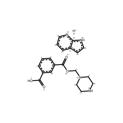 O=C(O)c1cccc(C(=O)OCN2CCNCC2)c1.[H+].c1cnc2[nH]ccc2c1